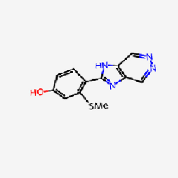 CSc1cc(O)ccc1-c1nc2cnncc2[nH]1